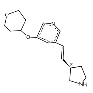 C(=C[C@H]1CCNC1)c1cncc(OC2CCOCC2)c1